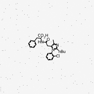 CCCCc1nc(C)c(CC(=O)N[C@@H](Cc2ccccc2)C(=O)O)n1-c1ccccc1Cl